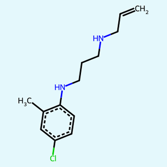 C=CCNCCCNc1ccc(Cl)cc1C